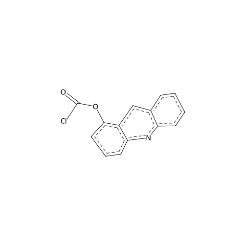 O=C(Cl)Oc1cccc2nc3ccccc3cc12